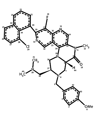 COc1ccc(CN2C[C@H]3C(=O)N(C)c4cnc5c(F)c(-c6cccc7cccc(Cl)c67)ncc5c4N3C[C@@H]2CN(C)C)cc1